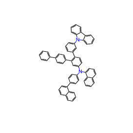 c1ccc(-c2ccc(-c3cc(N(c4ccc(-c5cccc6ccccc56)cc4)c4cccc5ccccc45)ccc3-c3cccc(-n4c5ccccc5c5ccccc54)c3)cc2)cc1